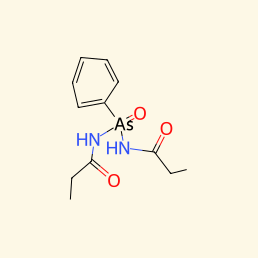 CCC(=O)N[As](=O)(NC(=O)CC)c1ccccc1